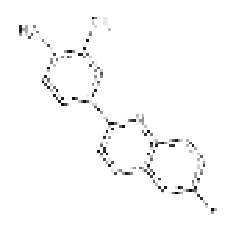 Cc1cc(-c2ccc3cc(F)ccc3n2)ccc1N